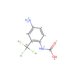 Nc1ccc(NC(=O)O)c(C(F)(F)F)c1